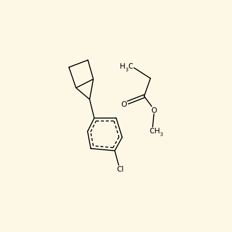 CCC(=O)OC.Clc1ccc(C2C3CCC32)cc1